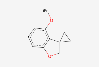 CC(C)Oc1cccc2c1C1(CC1)CO2